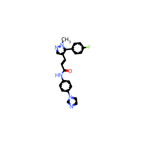 Cn1ncc(/C=C/C(=O)Nc2ccc(-n3ccnc3)cc2)c1-c1ccc(F)cc1